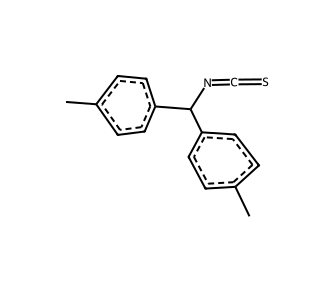 Cc1ccc(C(N=C=S)c2ccc(C)cc2)cc1